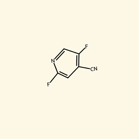 N#Cc1cc(F)ncc1F